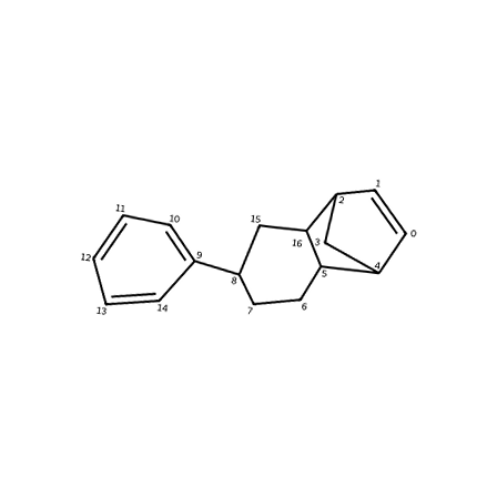 C1=CC2CC1C1CCC(c3ccccc3)CC21